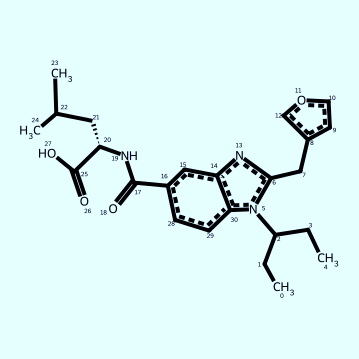 CCC(CC)n1c(Cc2ccoc2)nc2cc(C(=O)N[C@@H](CC(C)C)C(=O)O)ccc21